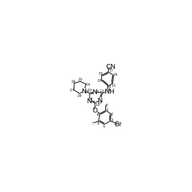 Cc1cc(Br)cc(C)c1Oc1nc(Nc2ccc(C#N)cc2)nc(N2CCCCC2)n1